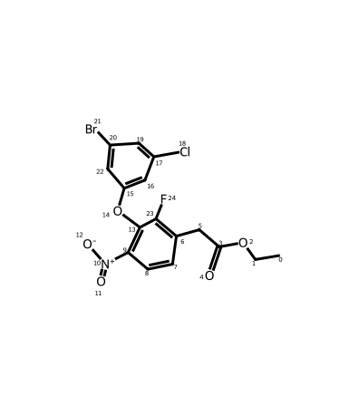 CCOC(=O)Cc1ccc([N+](=O)[O-])c(Oc2cc(Cl)cc(Br)c2)c1F